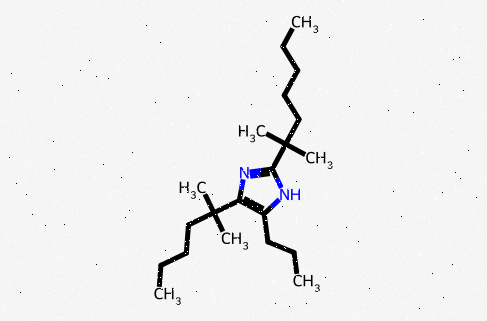 CCCCCC(C)(C)c1nc(C(C)(C)CCCC)c(CCC)[nH]1